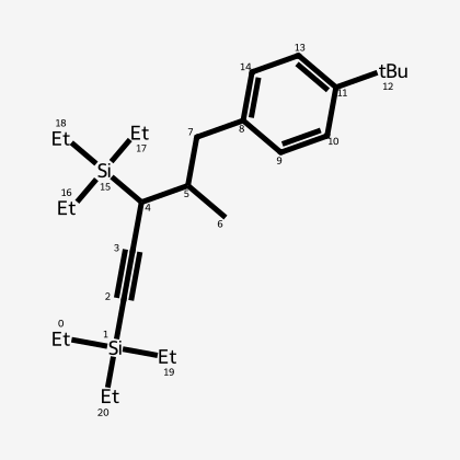 CC[Si](C#CC(C(C)Cc1ccc(C(C)(C)C)cc1)[Si](CC)(CC)CC)(CC)CC